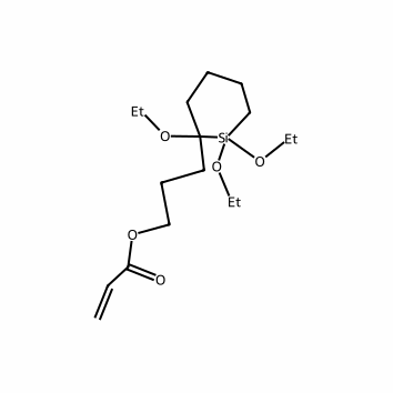 C=CC(=O)OCCCC1(OCC)CCCC[Si]1(OCC)OCC